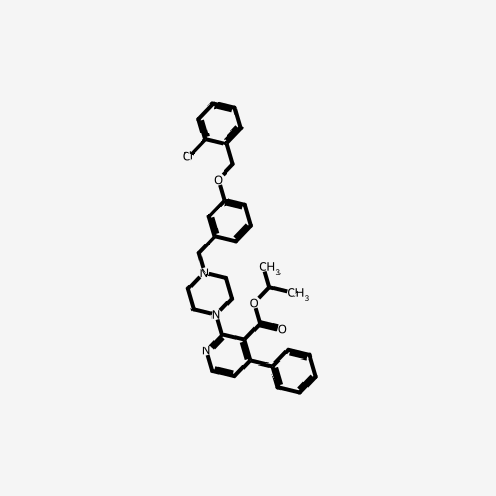 CC(C)OC(=O)c1c(-c2ccccc2)ccnc1N1CCN(Cc2cccc(OCc3ccccc3Cl)c2)CC1